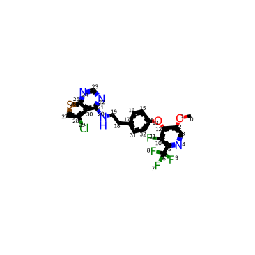 COc1cnc(C(F)(F)F)c(F)c1Oc1ccc(CCNc2ncnc3scc(Cl)c23)cc1